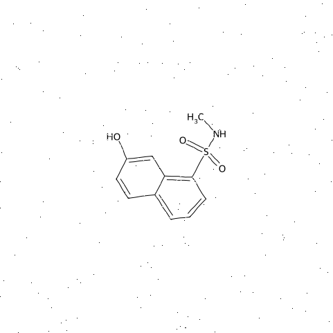 CNS(=O)(=O)c1cccc2ccc(O)cc12